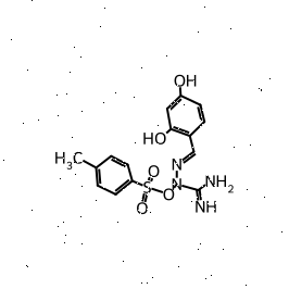 Cc1ccc(S(=O)(=O)ON(N=Cc2ccc(O)cc2O)C(=N)N)cc1